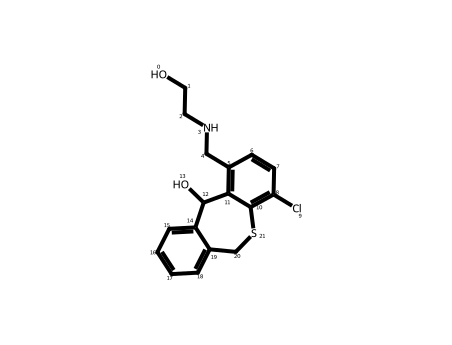 OCCNCc1ccc(Cl)c2c1C(O)c1ccccc1CS2